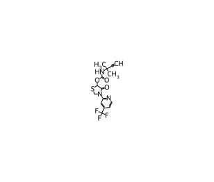 C#CC(C)(C)NC(=O)OC1SCN(c2cc(C(F)(F)F)ccn2)C1=O